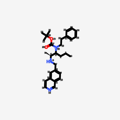 CCCC([C@@H](C)NCc1ccc2cnccc2c1)N(CCc1ccccc1)C(=O)OC(C)(C)C